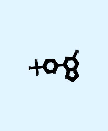 FC(F)(F)c1ccc(-c2nc(Br)cn3ccnc23)nc1